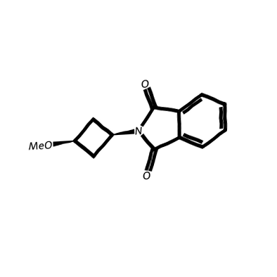 CO[C@H]1C[C@@H](N2C(=O)c3ccccc3C2=O)C1